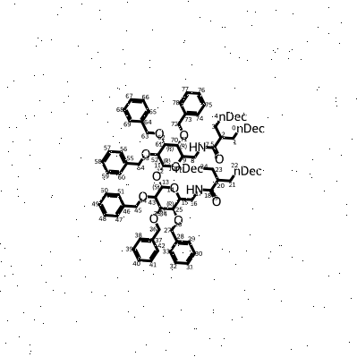 CCCCCCCCCCCC(CCCCCCCCCCC)C(=O)NCC1O[C@H](O[C@@H]2OC(CNC(=O)C(CCCCCCCCCCC)CCCCCCCCCCC)[C@@H](OCc3ccccc3)[C@@H](OCc3ccccc3)C2OCc2ccccc2)C(OCc2ccccc2)[C@H](OCc2ccccc2)[C@@H]1OCc1ccccc1